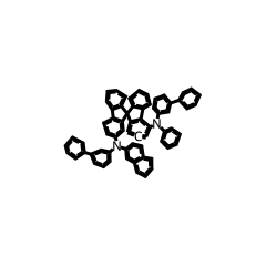 c1ccc(-c2cccc(N(c3ccc4c(c3)C3(c5ccccc5-4)c4ccccc4-c4c(N(c5ccccc5)c5cccc(-c6ccccc6)c5)cccc43)c3ccc4ccccc4c3)c2)cc1